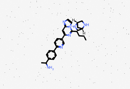 CCCCC1=NC(c2ccc(-c3ccc(C(C)N)cc3)nc2)=CC2=NC=C[N@@+]21N1C[C@@H]2C[C@H]1CN2